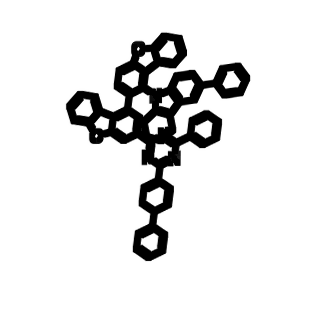 C1=Cc2c(n(-c3c(-c4cc(-c5nc(C6=CCC(c7ccccc7)C=C6)nc(-c6ccccc6)n5)cc5oc6ccccc6c45)ccc4oc5ccccc5c34)c3ccc(-c4ccccc4)cc23)CC1